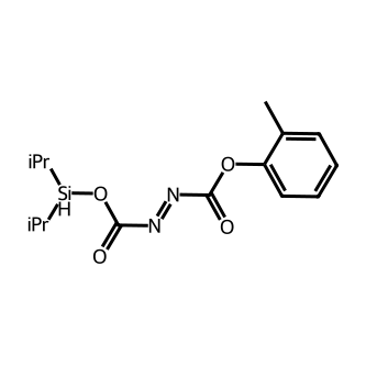 Cc1ccccc1OC(=O)N=NC(=O)O[SiH](C(C)C)C(C)C